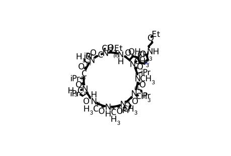 CCOCCNC(=O)/C=C\C[C@H](C)[C@H](O)C1C(=O)N[C@H](CC)C(=O)N(C)CC(=O)N(C)[C@H](CC(C)C)C(=O)C[C@H](C(C)C)C(=O)N(C)[C@H](CC(C)C)C(=O)N[C@H](C)C(=O)N[C@H](C)C(=O)N(C)[C@H](CC(C)C)C(=O)N(C)[C@H](CC(C)C)C(=O)N(C)[C@H](C(C)C)C(=O)N1C